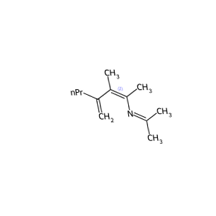 C=C(CCC)/C(C)=C(/C)N=C(C)C